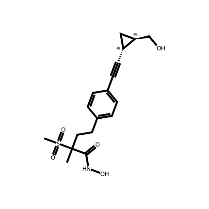 CC(CCc1ccc(C#C[C@@H]2C[C@H]2CO)cc1)(C(=O)NO)S(C)(=O)=O